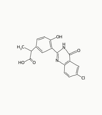 CC(C(=O)O)c1ccc(O)c(-c2nc3ccc(Cl)cc3c(=O)[nH]2)c1